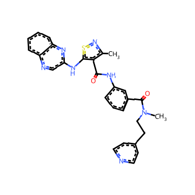 Cc1nsc(Nc2cnc3ccccc3n2)c1C(=O)Nc1cccc(C(=O)N(C)CCc2ccncc2)c1